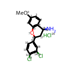 COc1ccc2c(c1)OC(c1ccc(Cl)c(Cl)c1)CC2N.Cl